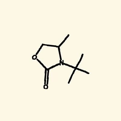 CC1COC(=O)N1C(C)(C)C